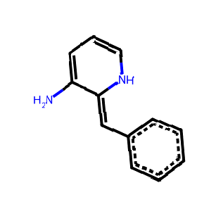 NC1=CC=CNC1=Cc1ccccc1